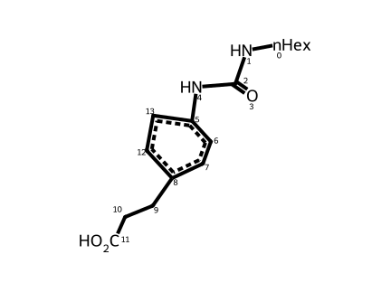 CCCCCCNC(=O)Nc1ccc(CCC(=O)O)cc1